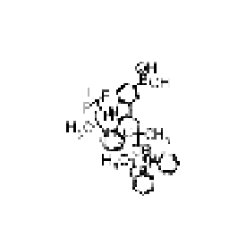 CC(C)c1ncccc1-c1c(CC(C)(C)CO[Si](c2ccccc2)(c2ccccc2)C(C)(C)C)c2cc(B(O)O)ccc2n1CC(F)(F)F